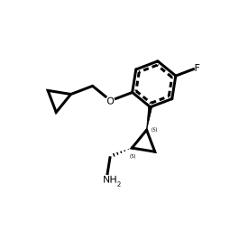 NC[C@H]1C[C@@H]1c1cc(F)ccc1OCC1CC1